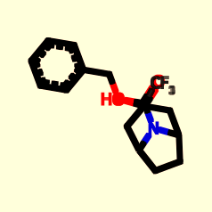 O=C(OCc1ccccc1)N1C2CCC1CC(O)(C(F)(F)F)C2